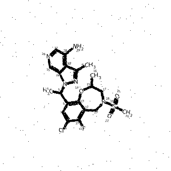 Cc1nn(C(C)c2cc(Cl)c(F)c3c2OC(C)CN(S(C)(=O)=O)C3)c2cncc(N)c12